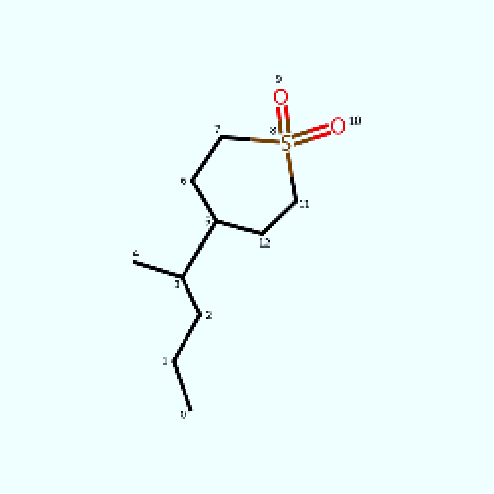 CCCC(C)C1CCS(=O)(=O)CC1